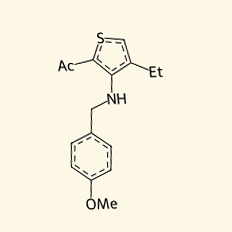 CCc1csc(C(C)=O)c1NCc1ccc(OC)cc1